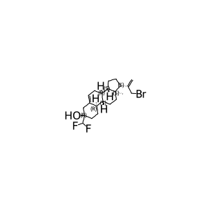 C=C(CBr)[C@H]1CC[C@H]2[C@@H]3CC=C4C[C@@](O)(C(F)F)CC[C@@H]4[C@H]3CC[C@]12C